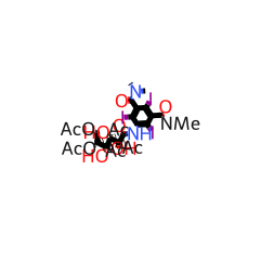 CNC(=O)c1c(I)c(NC(=O)[C@@](O)(C(C)=O)[C@](O)(C(C)=O)[C@@](O)(C(C)=O)[C@@H](COC(C)=O)OC(C)=O)c(I)c(C(=O)N(C)C)c1I